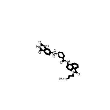 COCCCN1C(=O)c2cccc3c(NC(=O)C4CCCN(S(=O)(=O)c5ccc6c(=O)[nH]c(=O)[nH]c6c5)C4)ccc1c23